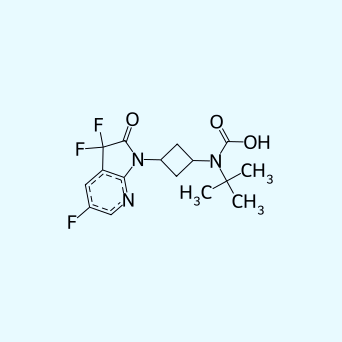 CC(C)(C)N(C(=O)O)C1CC(N2C(=O)C(F)(F)c3cc(F)cnc32)C1